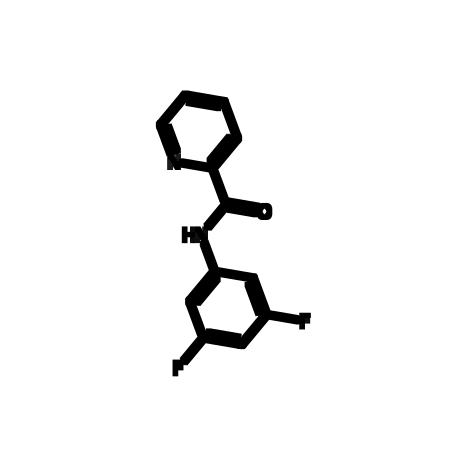 O=C(Nc1cc(F)cc(F)c1)c1ccccn1